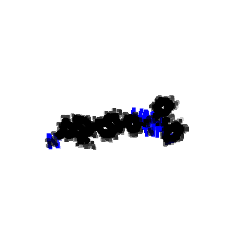 CC(NC(NC(N)c1ccc(-c2ccc3cc(-c4ccc5c(c4)C(C)(C)c4cc(C#N)ccc4-5)ccc3c2)cc1)c1ccccc1)c1ccccc1